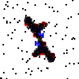 COc1ccc(-n2nc(C(=O)NCSSCNC(=O)c3nn(-c4ccc(OC)cc4)c4c3CCN(c3ccc(N5CCCCC5=O)cc3)C4=O)c3c2C(=O)N(c2ccc(N4CCCCC4=O)cc2)CC3)cc1